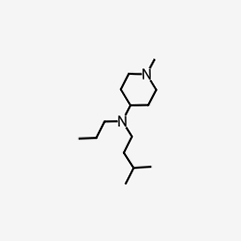 CCCN(CCC(C)C)C1CCN(C)CC1